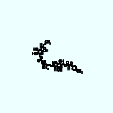 CCCC(=O)N[C@H]1C(O)O[C@H](COC(=O)NCN(C)CCCCC(=O)N[C@H]2C(O)O[C@H](COC(=O)NC(=O)C3CCN(C)CC3)[C@@H](O)[C@@H]2O)[C@@H](O)[C@@H]1O